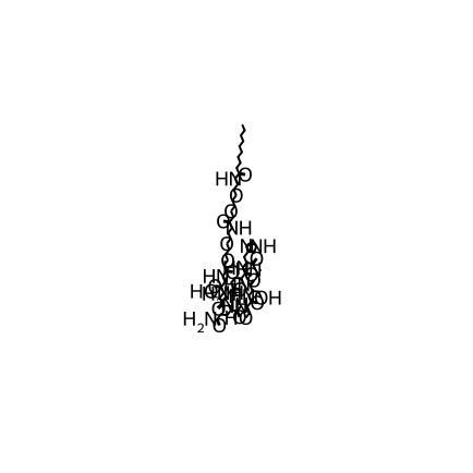 CCCCCCCCCC(=O)NCCOCCOCC(=O)NCCOCCOCC(=O)NCC(=O)N[C@H](CO)C(=O)NC(CCC(N)=O)C(=O)NC(CO)C(=O)NC(CO)C(=O)NC(CCC(N)=O)C(=O)NC(Cc1c[nH]cn1)C(=O)NC